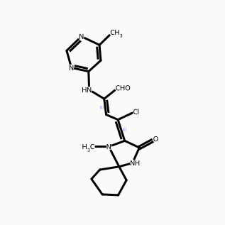 Cc1cc(N/C(C=O)=C/C(Cl)=C2/C(=O)NC3(CCCCC3)N2C)ncn1